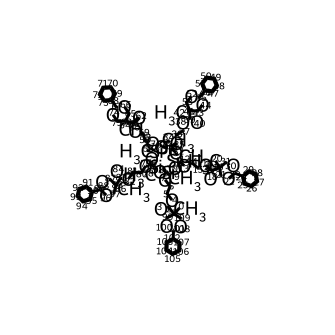 CC1(C(=O)OCCO[Si]2(C)O[Si](C)(OCCOC(=O)C3(C)COC(c4ccccc4)OC3)O[Si](C)(OCCOC(=O)C3(C)COC(c4ccccc4)OC3)O[Si](C)(OCCOC(=O)C3(C)COC(c4ccccc4)OC3)O[Si](C)(OCCOC(=O)C3(C)COC(c4ccccc4)OC3)O2)COC(c2ccccc2)OC1